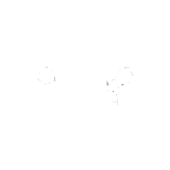 [CH](CCCc1ccccc1)Cc1c[nH]c2ccccc12